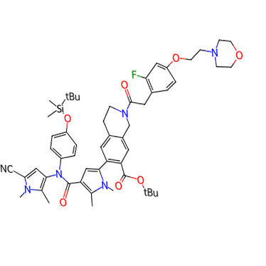 Cc1c(N(C(=O)c2cc(-c3cc4c(cc3C(=O)OC(C)(C)C)CN(C(=O)Cc3ccc(OCCN5CCOCC5)cc3F)CC4)n(C)c2C)c2ccc(O[Si](C)(C)C(C)(C)C)cc2)cc(C#N)n1C